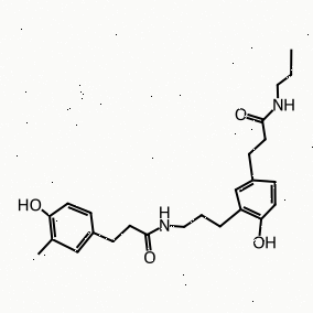 CCCNC(=O)CCc1ccc(O)c(CCCNC(=O)CCc2ccc(O)c(C)c2)c1